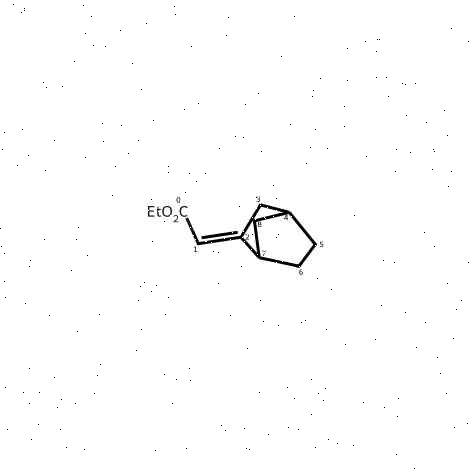 CCOC(=O)C=C1CC2CCC1C2